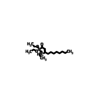 CCCCCCCCC(C)=CC(=O)[Si](OCC)(OCC)OCC